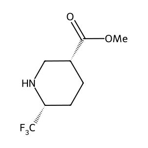 COC(=O)[C@@H]1CC[C@H](C(F)(F)F)NC1